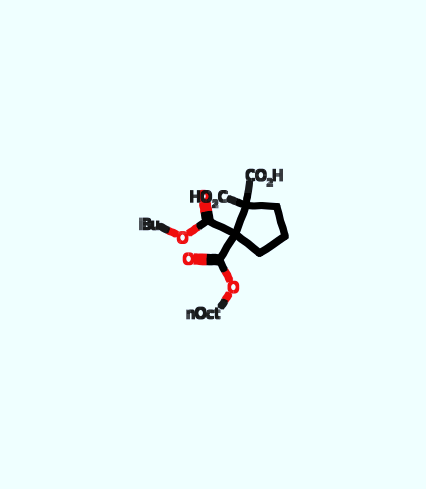 CCCCCCCCOC(=O)C1(C(=O)OC(C)CC)CCCC1(C(=O)O)C(=O)O